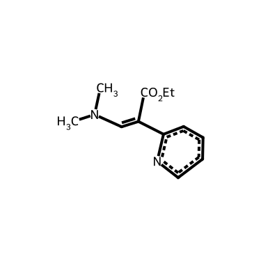 CCOC(=O)/C(=C\N(C)C)c1ccccn1